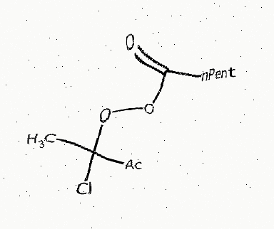 CCCCCC(=O)OOC(C)(Cl)C(C)=O